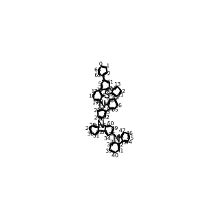 c1ccc(-c2ccc(S3(c4ccccc4)c4ccccc4-n4c5ccc(-n6c7ccccc7c7cc(-n8c9ccccc9c9ccccc98)ccc76)cc5c5cccc3c54)cc2)cc1